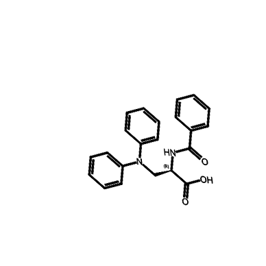 O=C(N[C@H](CN(c1ccccc1)c1ccccc1)C(=O)O)c1ccccc1